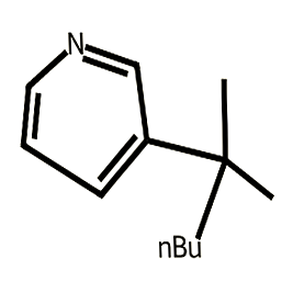 CCCCC(C)(C)c1cccnc1